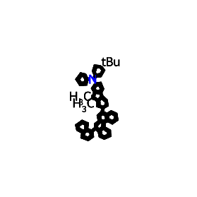 CC1(C)C2=CC(c3cc4cc(-c5cccc6ccccc56)c5ccccc5c4c4ccccc34)CC=C2c2ccc(N(C3=CCC(C(C)(C)C)C=C3)c3ccccc3)cc21